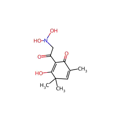 CC1=CC(C)(C)C(O)=C(C(=O)CN(O)O)C1=O